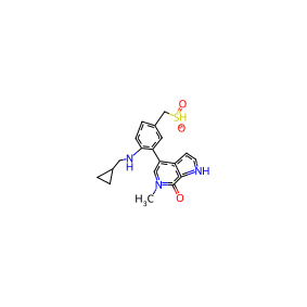 Cn1cc(-c2cc(C[SH](=O)=O)ccc2NCC2CC2)c2cc[nH]c2c1=O